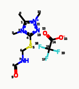 Cc1n(C)c(SCNC=O)n[n+]1C.O=C([O-])C(F)(F)F